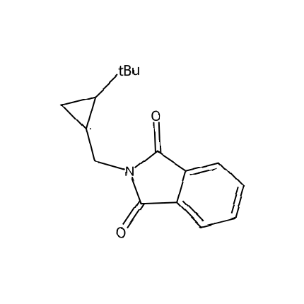 CC(C)(C)C1C[C]1CN1C(=O)c2ccccc2C1=O